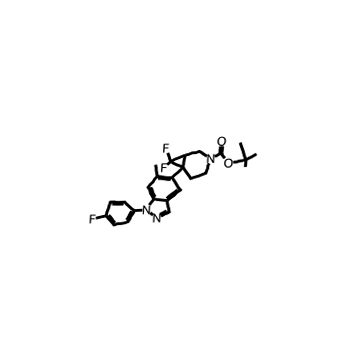 Cc1cc2c(cnn2-c2ccc(F)cc2)cc1C12CCN(C(=O)OC(C)(C)C)CC1C2(F)F